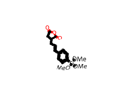 CO[Si](OC)(OC)c1ccc(/C=C/CC2CC(=O)OC2=O)cc1